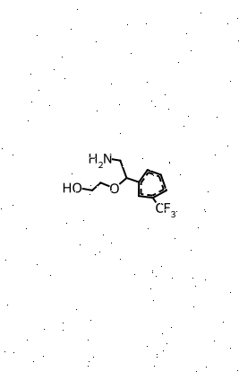 NCC(OCCO)c1cccc(C(F)(F)F)c1